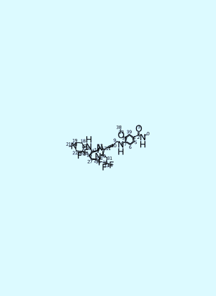 CNC(=O)c1ccc(NCC#Cc2nc3c(N[C@H]4CCN(C)CC4(F)F)cccn3c2CC(F)(F)F)c(OC)c1